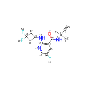 C#CC(C)(CC)NC(=O)c1cc(F)cnc1NC1CC(F)(F)C1